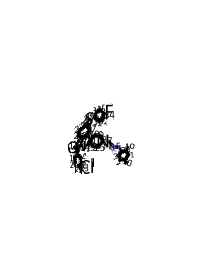 Cc1ccc(/C=C/CN2CCC3(CC2)CN(C(=O)c2ccnc(Cl)c2)c2ccc(Sc4ccc(F)cc4)cc23)c(C)c1